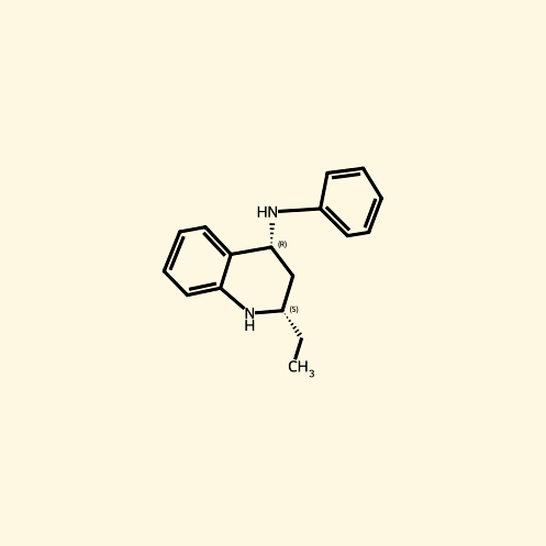 CC[C@H]1C[C@@H](Nc2ccccc2)c2ccccc2N1